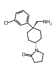 NC[C@]1(c2cccc(Cl)c2)CC[C@@H](N2CCCC2=O)CC1